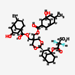 CCC1CCC2(C(=O)OCC3(COC(=O)C4CC5CC(C)CC(O)(C5)C4)COC([C@H]4CC5CCCC(OC(=O)C(F)(F)S(=O)(=O)O)(C5)C4)OC3)CC(O)CC1C2